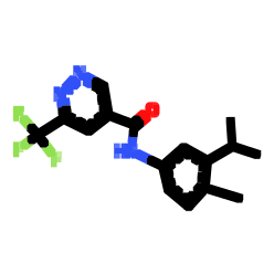 Cc1ccc(NC(=O)c2cnnc(C(F)(F)F)c2)cc1C(C)C